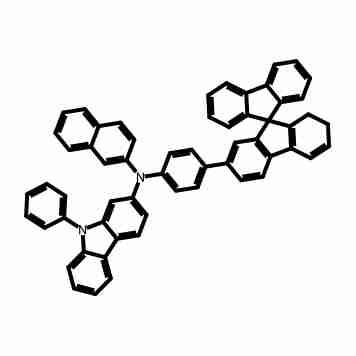 C1=CC2=C(CC1)C1(c3cc(-c4ccc(N(c5ccc6ccccc6c5)c5ccc6c7ccccc7n(-c7ccccc7)c6c5)cc4)ccc32)c2ccccc2-c2ccccc21